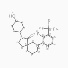 O=C1N(C2CCC(O)CC2)CCC12CCCN(c1nccc(C(F)(F)F)c1F)C2